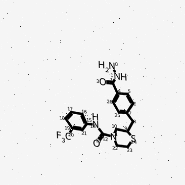 NNC(=O)c1ccc(CC2CN(C(=O)Nc3cccc(C(F)(F)F)c3)CCS2)cc1